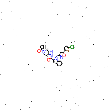 CC(=O)N1CCC(NC(=O)c2cc3ccccc3n2Cc2cc(-c3ccc(Cl)s3)on2)CC1